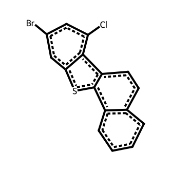 Clc1cc(Br)cc2sc3c4ccccc4ccc3c12